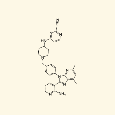 Cc1cc(C)c2nc(-c3cccnc3N)n(-c3ccc(CN4CCC(Nc5ccnc(C#N)n5)CC4)cc3)c2n1